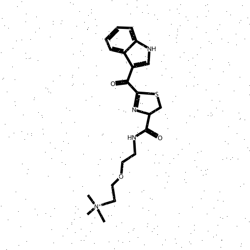 C[N+](C)(C)CCOCCNC(=O)C1CSC(C(=O)c2c[nH]c3ccccc23)=N1